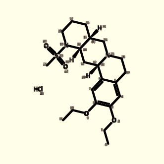 CCOc1cc2c(cc1OCC)[C@@H]1C[C@H]3[C@H](CCCN3S(C)(=O)=O)CN1CC2.Cl